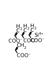 C=CC(=O)[O-].C=CC(=O)[O-].C=CC(=O)[O-].C=CC(=O)[O-].[Si+4]